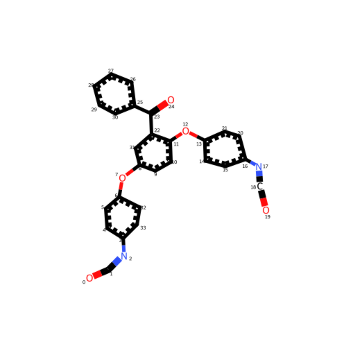 O=C=Nc1ccc(Oc2ccc(Oc3ccc(N=C=O)cc3)c(C(=O)c3ccccc3)c2)cc1